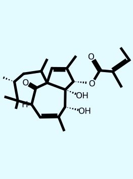 C/C=C(/C)C(=O)O[C@H]1C(C)=CC23C(=O)[C@@H](C=C(C)[C@@H](O)[C@]12O)C(C)(C)[C@H](C)CC3C